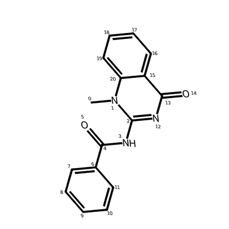 Cn1c(NC(=O)c2ccccc2)nc(=O)c2ccccc21